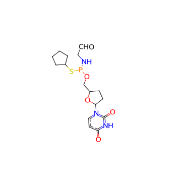 O=CCN[P@](OCC1CCC(n2ccc(=O)[nH]c2=O)O1)SC1CCCC1